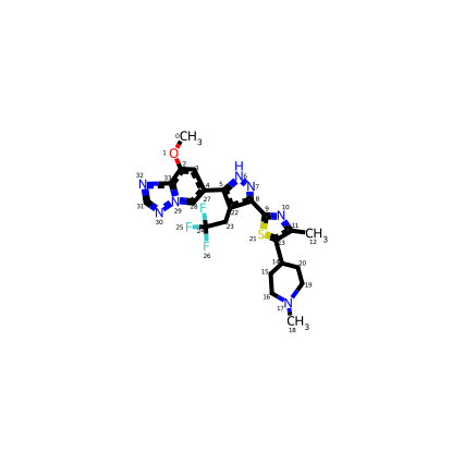 COc1cc(-c2[nH]nc(-c3nc(C)c(C4CCN(C)CC4)s3)c2CC(F)(F)F)cn2ncnc12